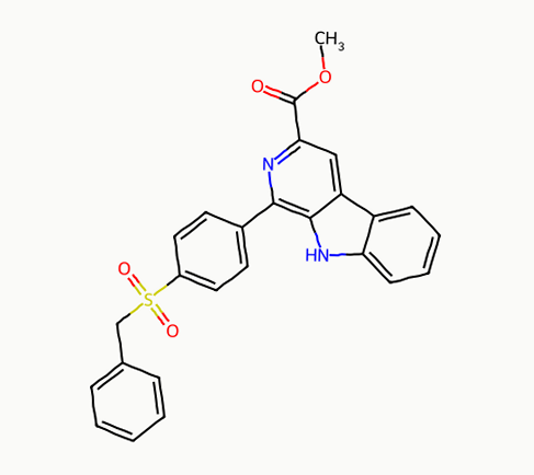 COC(=O)c1cc2c([nH]c3ccccc32)c(-c2ccc(S(=O)(=O)Cc3ccccc3)cc2)n1